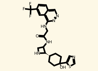 O=C(CNc1nncc2ccc(C(F)(F)F)cc12)NC1CNC1[C@H]1CC[C@](O)(c2cncs2)CC1